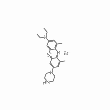 CCN(CC)c1cc(C)c2nc3c(C)cc(N4CCNCC4)cc3[s+]c2c1.[Br-]